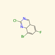 FC1=CC2C=NC(Cl)=NC2C(Br)=C1